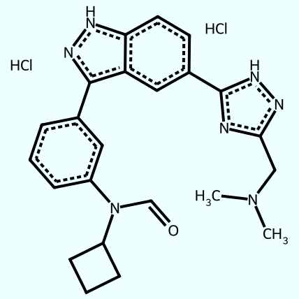 CN(C)Cc1n[nH]c(-c2ccc3[nH]nc(-c4cccc(N(C=O)C5CCC5)c4)c3c2)n1.Cl.Cl